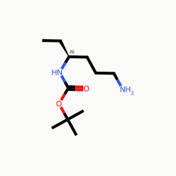 CC[C@@H](CCCN)NC(=O)OC(C)(C)C